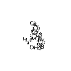 Cc1cc(C)c(Cc2ccc(Cl)cc2)c(C(=O)N2CCC(OC=O)CC2)c1